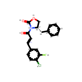 O=C(/C=C/c1ccc(Cl)c(F)c1)N1C(=O)OC[C@@H]1Cc1ccccc1